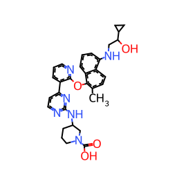 Cc1ccc2c(NCC(O)C3CC3)cccc2c1Oc1ncccc1-c1ccnc(NC2CCCN(C(=O)O)C2)n1